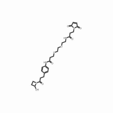 O=C(CCN1C(=O)C=CC1=O)NCCOCCOCCC(=O)Nc1ccc(CCC(=O)N2CCC2O)cc1